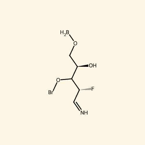 BOC[C@@H](O)C(OBr)[C@H](F)C=N